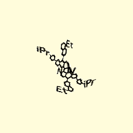 CCc1cccc2cc(-c3c4cc(-c5ccc(C(C)C)cc5)ccc4c4nc5ccc6c(-c7ccc8c(CC)cccc8c7)c7cc(-c8ccc(C(C)C)cc8)ccc7c7nc8ccc3c4c8c5c67)ccc12